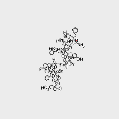 CCCC[C@@H](C(=O)N1CCC[C@@H]1C(=O)N[C@H](C=O)CC(=O)O)N(C)C(=O)[C@H](Cc1ccccc1)N(C)C(=O)[C@H](Cc1ccc(F)c(F)c1)NC(=O)CSC[C@@H](C)NC(=O)[C@H](CC(C)C)NC(=O)[C@H](Cc1ccc(O)cc1)NC(=O)[C@H](Cc1c[nH]c2ccccc12)NC(=O)C1C[C@@H](O)CN1C(=O)[C@H](CC(N)=O)NC(=O)C(Cc1ccccc1)N(C)C(=O)[C@@H](N)C(C)C